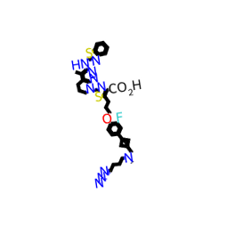 Cc1c(Nc2nc3ccccc3s2)nnc2c1CCCN2c1nc(C(=O)O)c(CCCOc2ccc(C34CC(CN(C)CCCCN=[N+]=[N-])(C3)C4)cc2F)s1